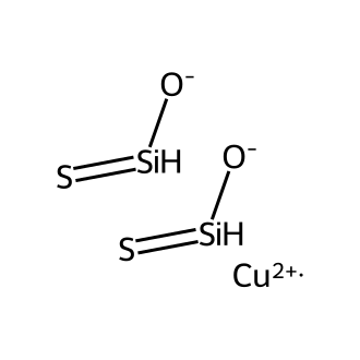 [Cu+2].[O-][SiH]=S.[O-][SiH]=S